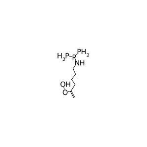 C=C(CCCCNP(P)P)OO